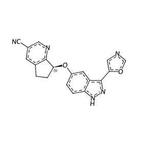 N#Cc1cnc2c(c1)CC[C@@H]2Oc1ccc2[nH]nc(-c3cnco3)c2c1